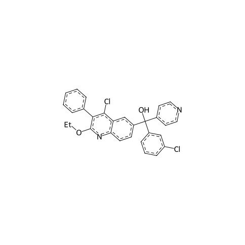 CCOc1nc2ccc(C(O)(c3ccncc3)c3cccc(Cl)c3)cc2c(Cl)c1-c1ccccc1